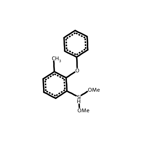 CO[SiH](OC)c1cccc(C)c1Oc1ccccc1